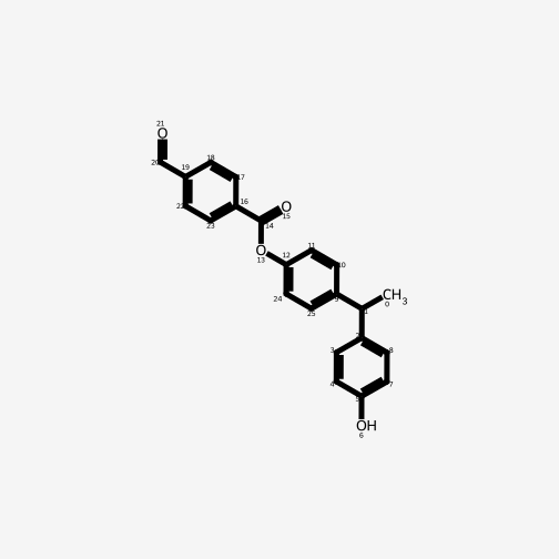 CC(c1ccc(O)cc1)c1ccc(OC(=O)c2ccc(C=O)cc2)cc1